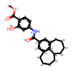 COC(=O)c1ccc(NC(=O)c2cc3c4c(c2)CCCCC4CCCC3)cc1O